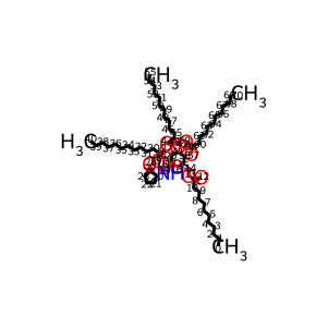 CCCCCCCCCCCC(=O)OC[C@H]1O[C@H](ONC2CCCC2=O)[C@H](OC(=O)CCCCCCCCCCC)[C@@H](OC(=O)CCCCCCCCCCC)[C@H]1OC(=O)CCCCCCCCCCC